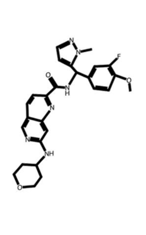 COc1ccc(C(NC(=O)c2ccc3cnc(NC4CCOCC4)cc3n2)c2ccnn2C)cc1F